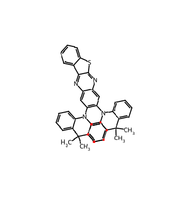 CC1(C)c2ccccc2N(c2cc3nc4sc5ccccc5c4nc3cc2N2c3ccccc3C(C)(C)c3ccccc32)c2ccccc21